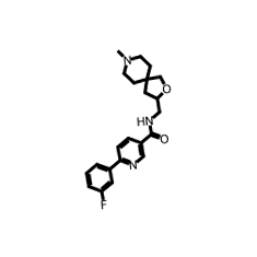 CN1CCC2(CC1)COC(CNC(=O)c1ccc(-c3cccc(F)c3)nc1)C2